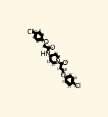 O=C(COc1ccc(Cl)cc1)NC1CCN(C(=O)CCOc2ccc(Cl)cc2)CC1